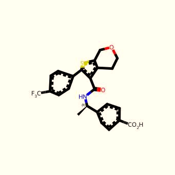 C[C@@H](NC(=O)c1c(-c2ccc(C(F)(F)F)cc2)sc2c1CCOC2)c1ccc(C(=O)O)cc1